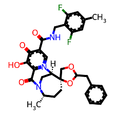 Cc1cc(F)c(CNC(=O)c2cn3c(c(O)c2=O)C(=O)N2C[C@@H]3[C@@]3(CC[C@@H]2C)COC(Cc2ccccc2)O3)c(F)c1